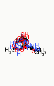 CCCC1NC(=O)CNC(=O)[C@H]2Cc3c([nH]c4ccccc34)[S+]([O-])C[C@H](NC(=O)CNC1=O)C(=O)N[C@@H](CC(=O)NCc1ccc(NC(=O)[C@H](C)NC)cc1)C(=O)N1CCC[C@H]1C(=O)N[C@@H](C[C@@H](O)CO)C(=O)N2